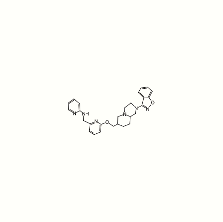 c1ccc(NCc2cccc(OCC3CCC4CN(c5noc6ccccc56)CCN4C3)n2)nc1